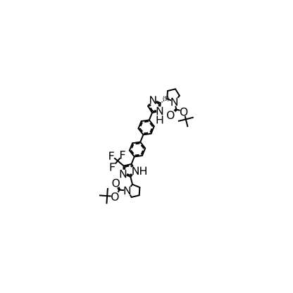 CC(C)(C)OC(=O)N1CCCC1c1nc(C(F)(F)F)c(-c2ccc(-c3ccc(-c4cnc([C@@H]5CCCN5C(=O)OC(C)(C)C)[nH]4)cc3)cc2)[nH]1